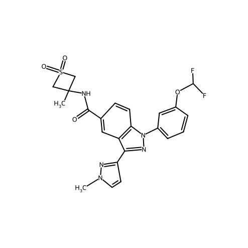 Cn1ccc(-c2nn(-c3cccc(OC(F)F)c3)c3ccc(C(=O)NC4(C)CS(=O)(=O)C4)cc23)n1